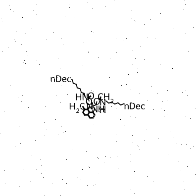 C=C(NCCCCCCCCCCCCCCCCC)OCC1(COC(=O)NCCCCCCCCCCCCCCCCC)N=c2c(=C)ccc3cccc(c23)N1